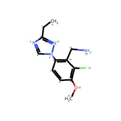 CCc1ncn(-c2ccc(OC)c(F)c2CN)n1